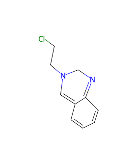 ClCCN1C=c2ccccc2=NC1